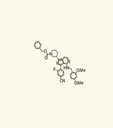 COc1ccc(CNc2nccn3c([C@@H]4CCCN(C(=O)OCc5ccccc5)C4)nc(-c4ccc(C#N)cc4F)c23)c(OC)c1